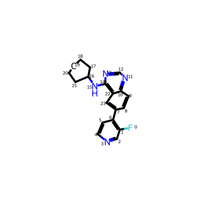 Fc1cnccc1-c1ccc2ncnc(NC3CCCCC3)c2c1